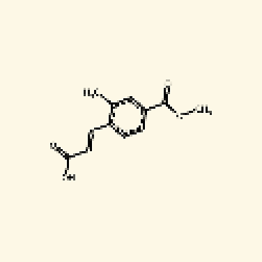 COC(=O)c1ccc(C=CC(=O)O)c(C)c1